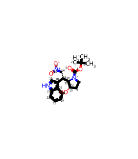 CC(C)(C)OC(=O)N1CC[C@H](O)[C@H]1[C@@H](C[N+](=O)[O-])c1c[nH]c2ccccc12